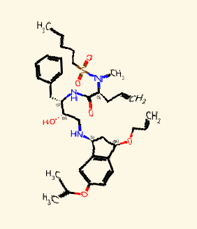 C=CCO[C@@H]1C[C@H](NC[C@H](O)[C@H](Cc2ccccc2)NC(=O)[C@H](CC=C)N(C)S(=O)(=O)CCCCC)c2cc(OC(C)C)ccc21